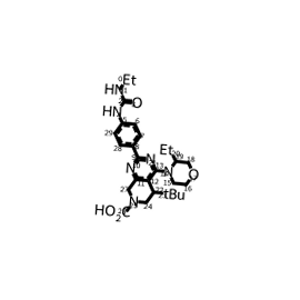 CCNC(=O)Nc1ccc(-c2nc3c(c(N4CCOCC4CC)n2)C(C(C)(C)C)CN(C(=O)O)C3)cc1